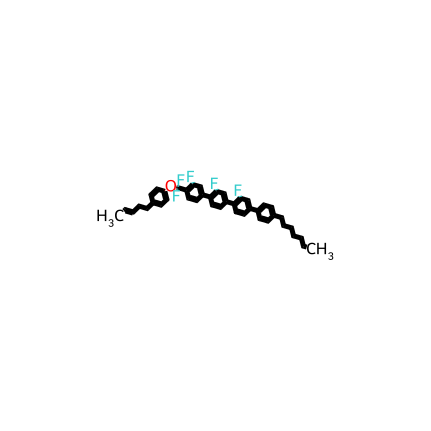 C/C=C/CCc1ccc(OC(F)(F)c2ccc(-c3ccc(-c4ccc(-c5ccc(CCCCCCC)cc5)cc4F)cc3F)cc2F)cc1